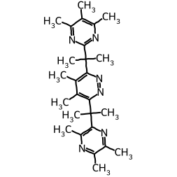 Cc1nc(C)c(C(C)(C)c2nnc(C(C)(C)c3nc(C)c(C)c(C)n3)c(C)c2C)nc1C